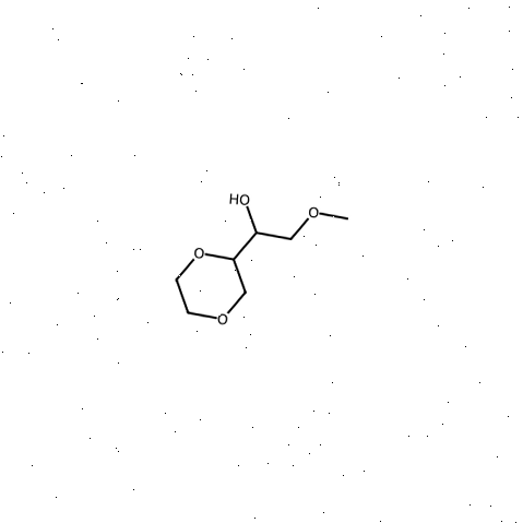 COCC(O)C1COCCO1